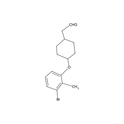 Cc1c(Br)cccc1OC1CCC(CC=O)CC1